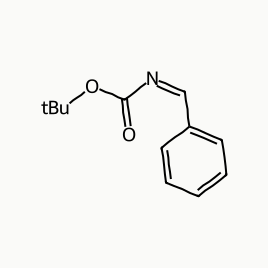 CC(C)(C)OC(=O)/N=C\c1ccccc1